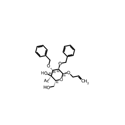 C=CCO[C@H]1O[C@H](CO)[C@](O)(C(C)=O)[C@H](OCc2ccccc2)[C@H]1OCc1ccccc1